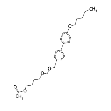 CCCCCOc1ccc(-c2ccc(COCOCCCCOC(C)=O)cc2)cc1